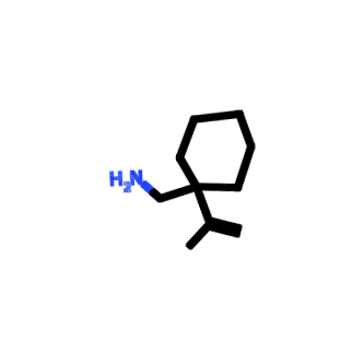 C=C(C)C1(CN)CCCCC1